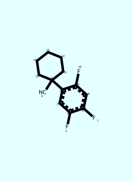 N#CC1(c2cc(F)c(F)cc2F)CCCCC1